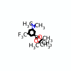 CN(C)c1cc(B2OC(C)(C)C(C)(C)O2)cc(C(F)(F)F)c1